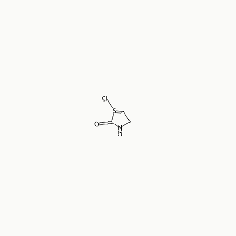 O=C1NCC=S1Cl